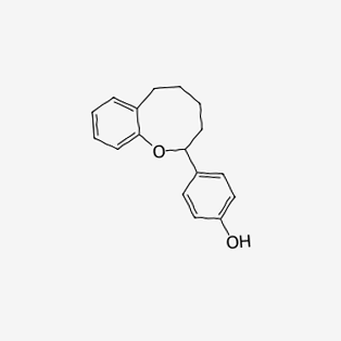 Oc1ccc(C2CCCCc3ccccc3O2)cc1